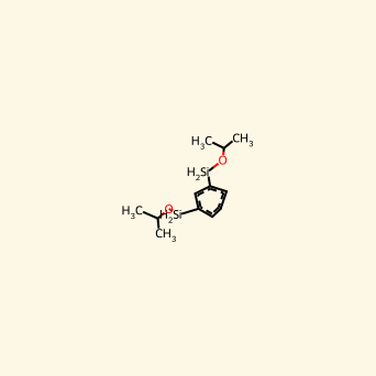 CC(C)O[SiH2]c1cccc([SiH2]OC(C)C)c1